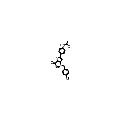 CC(=O)Nc1ccc(-c2cc3c(s2)c(=O)ncn3Cc2ccc(Cl)cc2)cc1